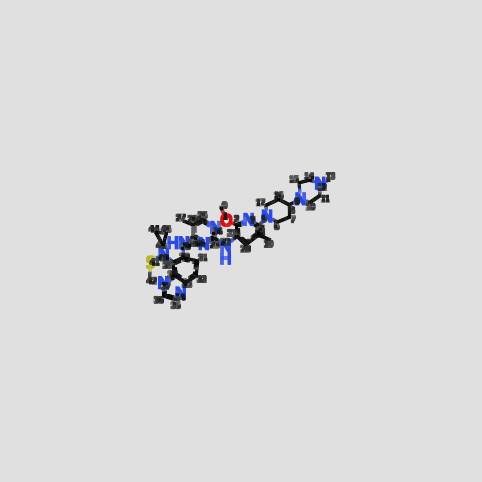 COc1nc(N2CCC(N3CCN(C)CC3)CC2)c(C)cc1Nc1ncc(C)c(Nc2ccc3nccnc3c2N(SC)C2CC2)n1